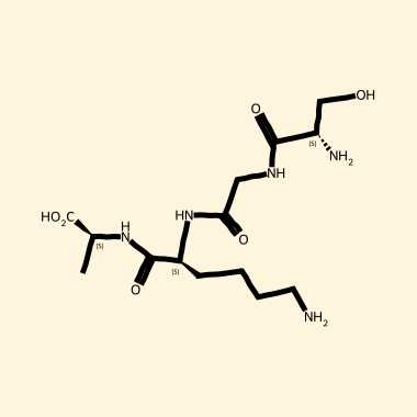 C[C@H](NC(=O)[C@H](CCCCN)NC(=O)CNC(=O)[C@@H](N)CO)C(=O)O